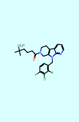 CC(C)(CCCC(=O)N1CCc2c(n(Cc3ccc(F)c(Cl)c3F)c3ncccc23)C1)C(=O)O